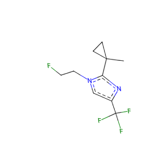 CC1(c2nc(C(F)(F)F)cn2CCF)CC1